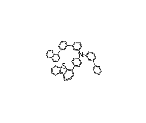 c1ccc(-c2cccc(N(c3ccc(-c4cccc5c4sc4ccccc45)cc3)c3cccc(-c4cccc(-c5cccc6ccccc56)c4)c3)c2)cc1